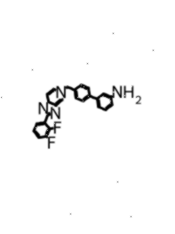 Nc1cccc(-c2ccc(Cn3ccc4nc(-c5cccc(F)c5F)nc-4c3)cc2)c1